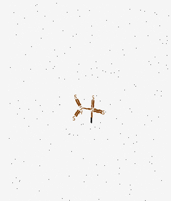 CS(=S)(=S)[SH](=S)=S